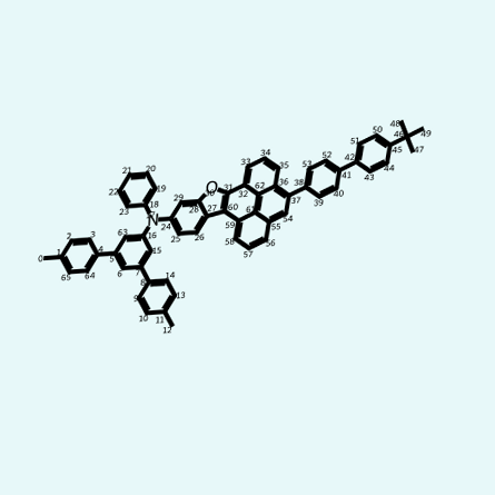 Cc1ccc(-c2cc(-c3ccc(C)cc3)cc(N(c3ccccc3)c3ccc4c(c3)oc3c5cccc6c(-c7ccc(-c8ccc(C(C)(C)C)cc8)cc7)cc7cccc(c43)c7c65)c2)cc1